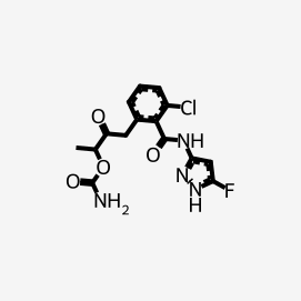 CC(OC(N)=O)C(=O)Cc1cccc(Cl)c1C(=O)Nc1cc(F)[nH]n1